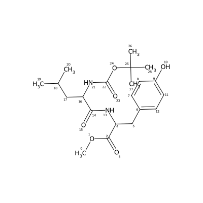 COC(=O)C(Cc1ccc(O)cc1)NC(=O)C(CC(C)C)NC(=O)OC(C)(C)C